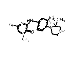 Cn1cc(Br)nc(Nc2ccc(N3CCNCC3(C)C)c([N+](=O)[O-])c2)c1=O